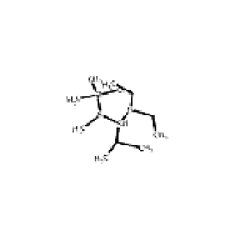 CCN(CC)[SiH](C(C)C)N(C)[Si](C)(C)C